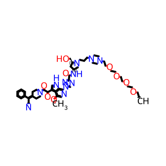 C#CCOCCOCCOCCOCCN1CCN(CCCN2C[C@@H](NC(=O)c3ncn(-c4ncc(OC)c5c(C(=O)C(=O)N6CCC(=C(C#N)c7ccccc7)CC6)c[nH]c45)n3)C[C@H]2CO)CC1